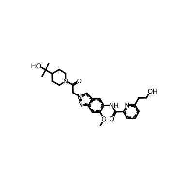 COc1cc2nn(CC(=O)N3CCC(C(C)(C)O)CC3)cc2cc1NC(=O)c1cccc(CCO)n1